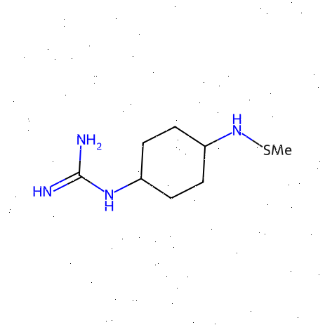 CSNC1CCC(NC(=N)N)CC1